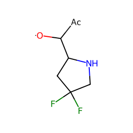 CC(=O)C([O])C1CC(F)(F)CN1